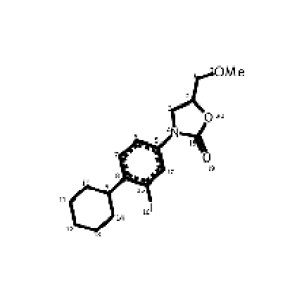 COCC1CN(c2ccc(C3CCCCC3)c(I)c2)C(=O)O1